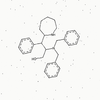 OCC(C(c1ccccc1)C1CCCCCN1)N(Cc1ccccc1)Cc1ccccc1